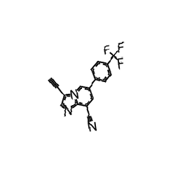 C#Cc1cnc2c(C#N)cc(-c3ccc(C(F)(F)F)cc3)cn12